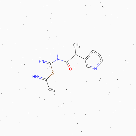 CC(=N)SC(=N)NC(=O)C(C)c1cccnc1